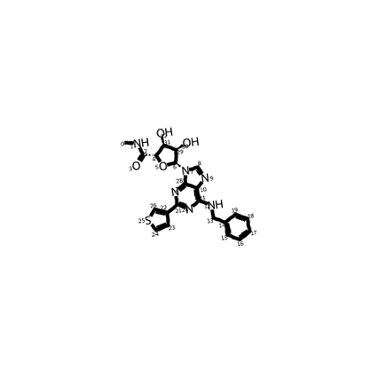 CNC(=O)[C@H]1O[C@@H](n2cnc3c(NCc4ccccc4)nc(-c4ccsc4)nc32)[C@H](O)[C@@H]1O